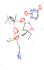 CCCC[C@]1(CC)O[C@@H](n2ccc(=O)[nH]c2=O)C(O[Si](C)(C)C(C)(C)C)[C@H]1OP(C)OCCC#N